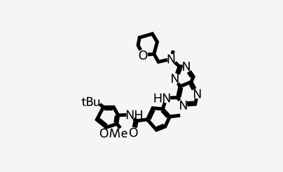 COc1ccc(C(C)(C)C)cc1NC(=O)c1ccc(C)c(Nc2ncnc3cnc(N(C)CC4CCCCO4)nc23)c1